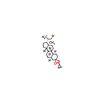 CC(CBr)[C@H]1CC[C@H]2[C@@H]3CC[C@@H]4C[C@@](O)(CC5CC5)CC[C@@H]4[C@H]3CC[C@]12C